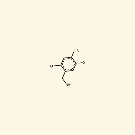 Cc1cc(C)[n+]([O-])cc1C[NH]